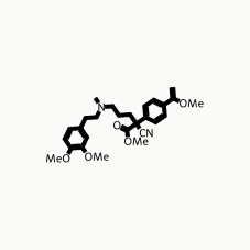 C=C(OC)c1ccc(C(C#N)(CCCN(C)CCc2ccc(OC)c(OC)c2)C(=O)OC)cc1